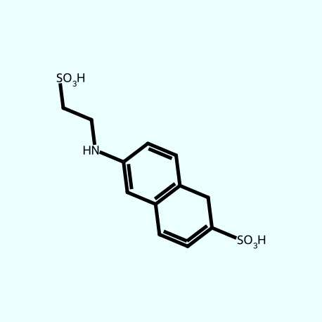 O=S(=O)(O)CCNc1ccc2c(c1)C=C=C(S(=O)(=O)O)C2